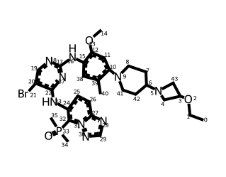 CCOC1CN(C2CCN(c3cc(OC)c(Nc4ncc(Br)c(Nc5ccc6ncnn6c5P(C)(C)=O)n4)cc3C)CC2)C1